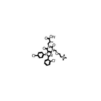 C[C@@H](Cn1c(=O)c2c(nc(-c3ccccc3Cl)n2-c2ccc(Cl)cc2)n(COCC[Si](C)(C)C)c1=O)C(=O)O